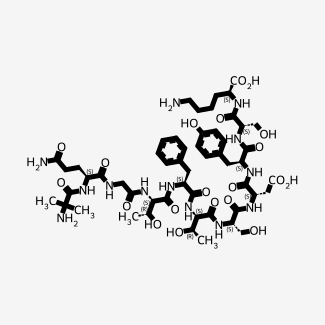 C[C@@H](O)[C@H](NC(=O)CNC(=O)[C@H](CCC(N)=O)NC(=O)C(C)(C)N)C(=O)N[C@@H](Cc1ccccc1)C(=O)N[C@H](C(=O)N[C@@H](CO)C(=O)N[C@@H](CC(=O)O)C(=O)N[C@@H](Cc1ccc(O)cc1)C(=O)N[C@@H](CO)C(=O)N[C@@H](CCCCN)C(=O)O)[C@@H](C)O